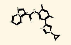 Cc1cc(F)c(-c2cn(C3CC3)cn2)cc1NC(=O)c1cnn2ccccc12